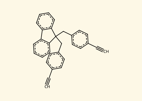 C#Cc1ccc(CC2(Cc3ccc(C#C)cc3)c3ccccc3-c3ccccc32)cc1